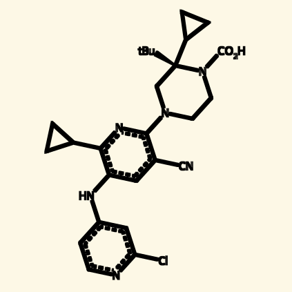 CC(C)(C)[C@]1(C2CC2)CN(c2nc(C3CC3)c(Nc3ccnc(Cl)c3)cc2C#N)CCN1C(=O)O